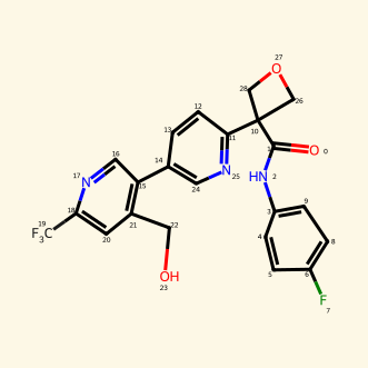 O=C(Nc1ccc(F)cc1)C1(c2ccc(-c3cnc(C(F)(F)F)cc3CO)cn2)COC1